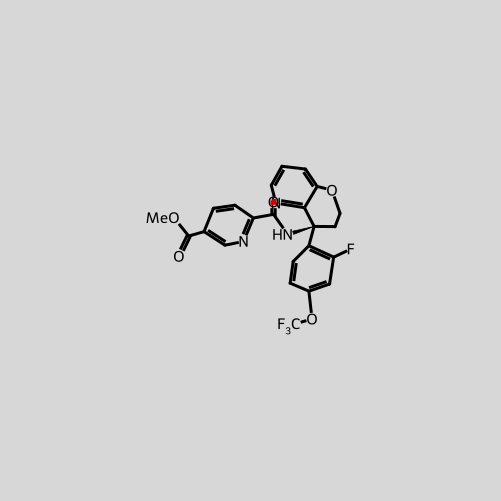 COC(=O)c1ccc(C(=O)N[C@]2(c3ccc(OC(F)(F)F)cc3F)CCOc3cccnc32)nc1